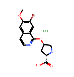 COc1cc2ccnc(O[C@H]3CN[C@H](C(=O)O)C3)c2cc1Br.Cl